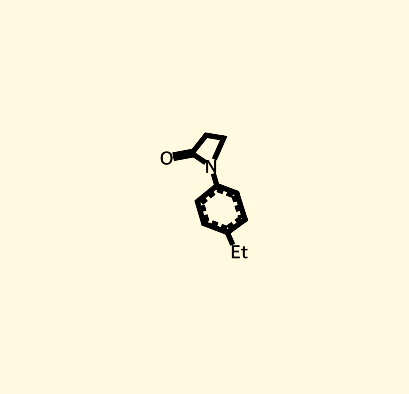 CCc1ccc(N2CCC2=O)cc1